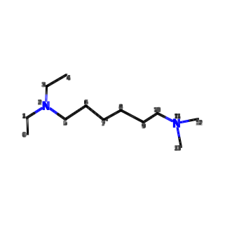 CCN(CC)CC[CH]CCCN(C)C